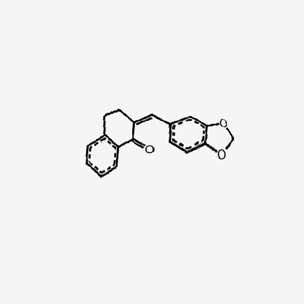 O=C1C(=Cc2ccc3c(c2)OCO3)CCc2ccccc21